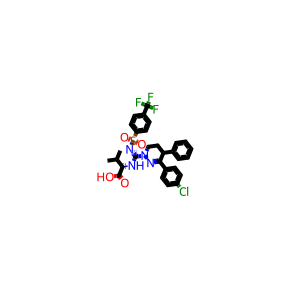 CC(C)[C@H](N/C(=N/S(=O)(=O)c1ccc(C(F)(F)F)cc1)N1CCC(c2ccccc2)C(c2ccc(Cl)cc2)=N1)C(=O)O